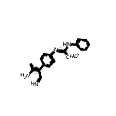 C/C(N)=C(/C=N)c1ccc(/N=C(\C=O)Nc2ccccc2)cc1